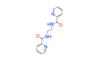 O=C(NCCNC(=O)c1ccccn1)c1ccccn1